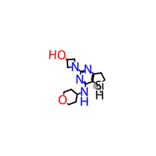 C[Si@@H]1CCc2nc(N3CC(O)C3)nc(NC3CCOCC3)c21